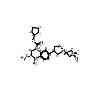 CC(=O)N1c2ccc(C3CNN(C4CS(=O)(=O)C4)C3)cc2N(C(=O)OC2CCCC2)C[C@@H]1C